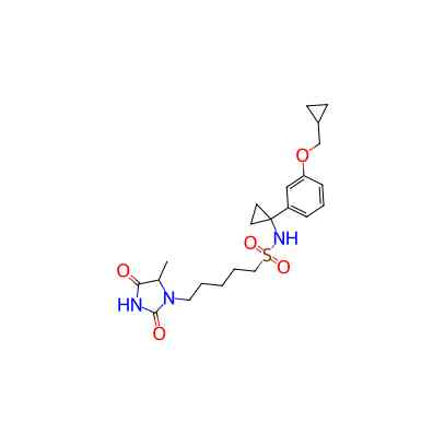 CC1C(=O)NC(=O)N1CCCCCS(=O)(=O)NC1(c2cccc(OCC3CC3)c2)CC1